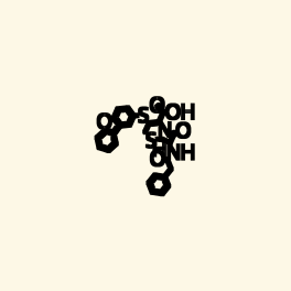 O=C(Cc1ccccc1)N[C@@H]1C(=O)N2C(C(=O)O)=C(Sc3ccc4oc5ccccc5c4c3)CS[C@@H]12